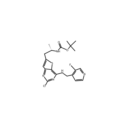 C[C@@H](Cc1cc2nc(Cl)nc(NCc3ccncc3F)c2s1)NC(=O)OC(C)(C)C